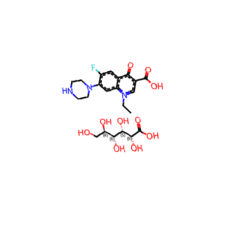 CCn1cc(C(=O)O)c(=O)c2cc(F)c(N3CCNCC3)cc21.O=C(O)[C@H](O)[C@@H](O)[C@H](O)[C@H](O)CO